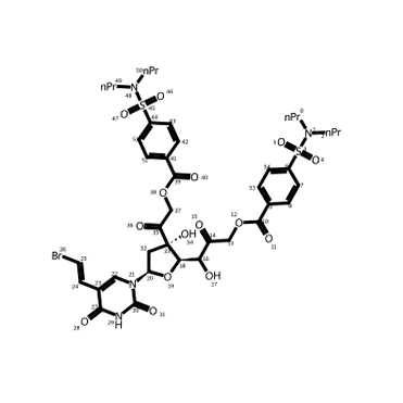 CCCN(CCC)S(=O)(=O)c1ccc(C(=O)OCC(=O)C(O)[C@H]2O[C@@H](n3cc(C=CBr)c(=O)[nH]c3=O)C[C@@]2(O)C(=O)COC(=O)c2ccc(S(=O)(=O)N(CCC)CCC)cc2)cc1